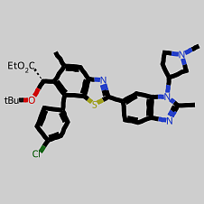 CCOC(=O)[C@@H](OC(C)(C)C)c1c(C)cc2nc(-c3ccc4nc(C)n(C5CCN(C)C5)c4c3)sc2c1-c1ccc(Cl)cc1